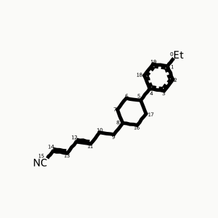 CCc1ccc(C2CCC(CCC=CC=CC#N)CC2)cc1